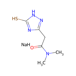 CN(C)C(=O)Cc1n[nH]c(S)n1.[NaH]